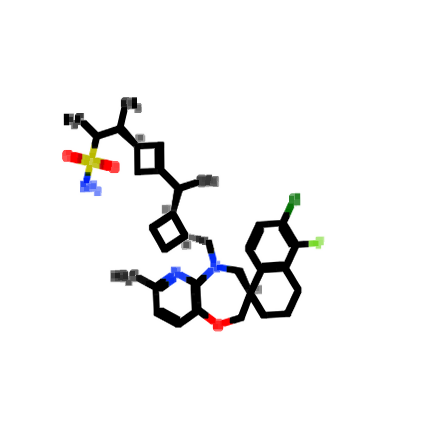 CC(=O)OC(C1=C[C@H](C(C)C(C)S(N)(=O)=O)C1)[C@@H]1CC[C@H]1CN1C[C@@]2(CCCc3c2ccc(Cl)c3F)COc2ccc(C(=O)O)nc21